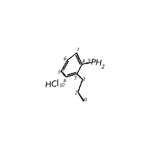 CCCc1ccccc1P.Cl